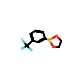 FC(F)(F)c1cccc(P2OCCO2)c1